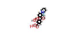 COCOc1ccc(N2CCCCC2)c(F)c1C(=O)c1ccc(C(=O)O)cc1